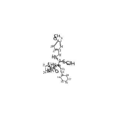 COc1ccc(CNC(=S)[C@@H](CCC2CCCCC2)NC(=O)[C@H]2NCCS2)cc1.Cl